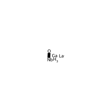 [GaH3].[La].[O]=[Nb]